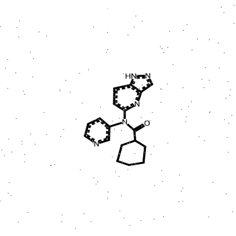 O=C(C1CCCCC1)N(c1cccnc1)c1ccc2[nH]ncc2n1